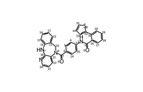 O=C(Nc1ccc(C(=O)N2Cc3ccccc3Nc3ncccc32)cc1)c1ccccc1-c1cccs1